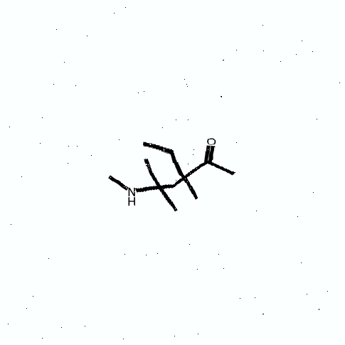 CCC(C)(C(C)=O)C(C)(C)NC